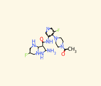 CC(=O)N1CCN(c2c(F)cncc2NC(=O)C2C(N)NN3CC(F)CNC23)CC1